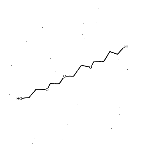 OCCOCCOCCOCCCCS